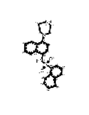 O=S(=O)(Nc1ccc(N2CCNCC2)c2ccccc12)c1cccc2ccccc12